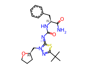 CC(C)(C)c1nn(C[C@H]2CCCO2)/c(=N/C(=O)N[C@@H](Cc2ccccc2)C(N)=O)s1